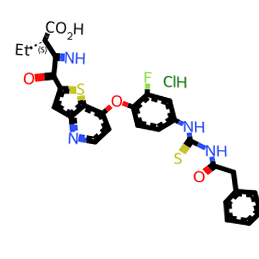 CC[C@@H](C(=N)C(=O)c1cc2nccc(Oc3ccc(NC(=S)NC(=O)Cc4ccccc4)cc3F)c2s1)C(=O)O.Cl